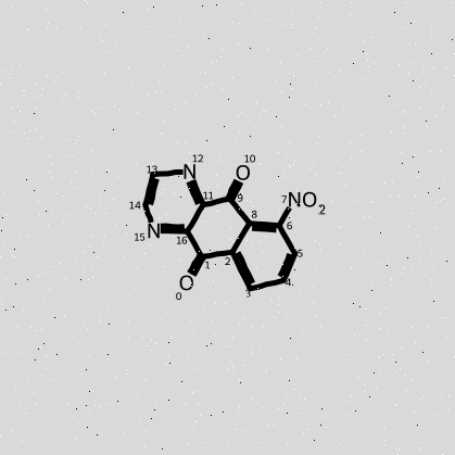 O=C1c2cccc([N+](=O)[O-])c2C(=O)c2nccnc21